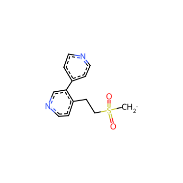 [CH2]S(=O)(=O)CCc1ccncc1-c1ccncc1